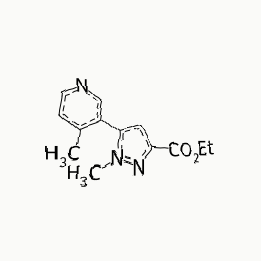 CCOC(=O)c1cc(-c2cnccc2C)n(C)n1